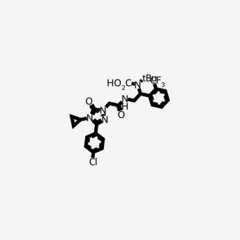 CC(C)(C)N(C(=O)O)C(CNC(=O)Cn1nc(-c2ccc(Cl)cc2)n(C2CC2)c1=O)c1ccccc1C(F)(F)F